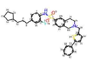 O=S(=O)(Nc1ccc(CCCC2CCCC2)cc1F)c1ccc2c(c1)CCN(Cc1ccc(-c3ccccc3)s1)C2